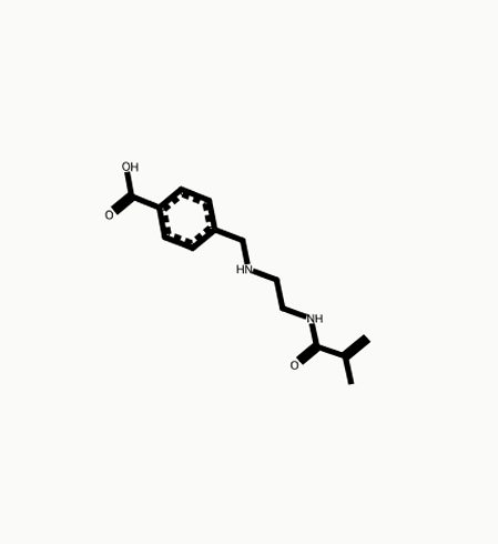 C=C(C)C(=O)NCCNCc1ccc(C(=O)O)cc1